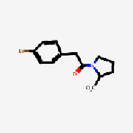 O=C(O)C1CCCN1C(=O)Cc1ccc(Br)cc1